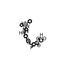 O=C1CCC(N2Cc3cc(CN4CCN(c5ccc(Nc6ncc7nc(Nc8ccccc8)n(C8CCCC8)c7n6)cc5)CC4)c(F)cc3C2=O)C(=O)N1